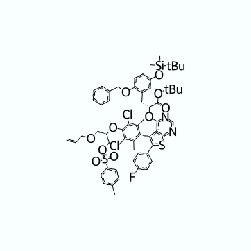 C=CCOC[C@H](COS(=O)(=O)c1ccc(C)cc1)Oc1c(Cl)c(C)c(-c2c(-c3ccc(F)cc3)sc3ncnc(O[C@H](Cc4cc(O[Si](C)(C)C(C)(C)C)ccc4OCc4ccccc4)C(=O)OC(C)(C)C)c23)c(C)c1Cl